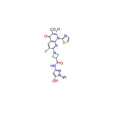 CC(C)n1nc(NC(=O)C2CN(c3nc4c(cc3F)c(=O)c(C(=O)O)cn4-c3nccs3)C2)cc1O